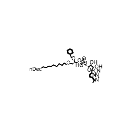 CCCCCCCCCCCCCCCCCCCCOC[C@H](COP(=O)(O)OC[C@H]1O[C@@](C#N)(c2ccc3c(C)ncnn23)[C@H](O)[C@@H]1O)OCc1ccccc1